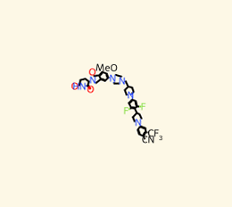 COc1cc(N2CCN(CC3CCN(c4cc(F)c(C5CCN(c6ccc(C#N)c(C(F)(F)F)c6)CC5)c(F)c4)CC3)CC2)cc2c1C(=O)N(C1CCC(=O)NC1=O)C2